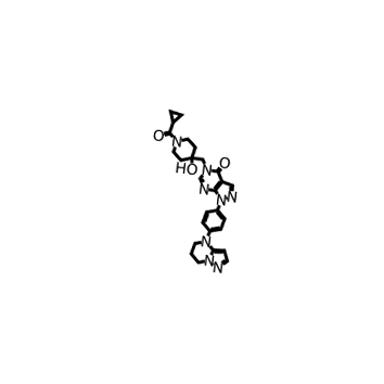 O=C(C1CC1)N1CCC(O)(Cn2cnc3c(cnn3-c3ccc(N4CCCn5nccc54)cc3)c2=O)CC1